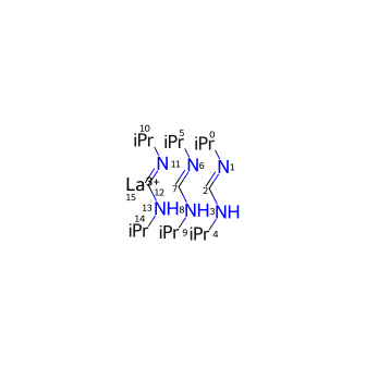 CC(C)N=CNC(C)C.CC(C)N=CNC(C)C.CC(C)N=CNC(C)C.[La+3]